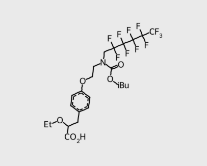 CCOC(Cc1ccc(OCCN(CC(F)(F)C(F)(F)C(F)(F)C(F)(F)C(F)(F)F)C(=O)OC(C)CC)cc1)C(=O)O